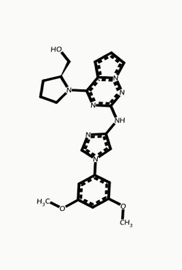 COc1cc(OC)cc(-n2cnc(Nc3nc(N4CCC[C@H]4CO)c4cccn4n3)c2)c1